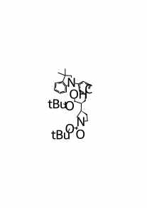 CC(C)(C)OC(=O)N1CC[C@H]([C@H](Cc2cccc(N3CC(C)(C)c4ccccc43)c2)C(O)OC(C)(C)C)C1